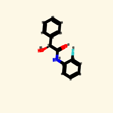 O=C(Nc1ccccc1F)[C@H](O)c1ccccc1